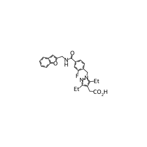 CCc1nn(Cc2ccc(C(=O)NCc3cc4ccccc4o3)cc2F)c(CC)c1CC(=O)O